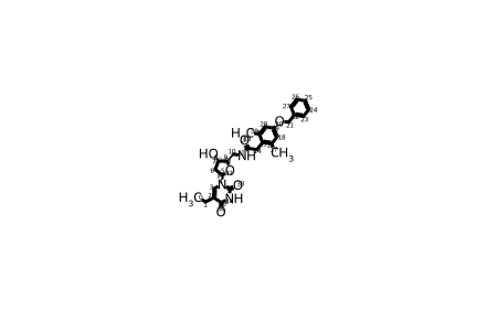 CCc1cn([C@H]2C[C@H](O)[C@@H](CNC(=O)Cc3c(C)cc(OCc4ccccc4)cc3C)O2)c(=O)[nH]c1=O